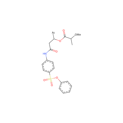 COC(C)C(=O)OC(CC(=O)Nc1ccc(S(=O)(=O)Oc2ccccc2)cc1)C(C)=O